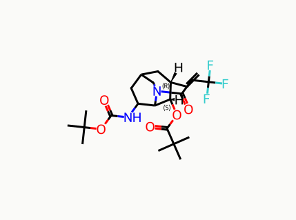 C=C[C@H]1CC2CC(NC(=O)OC(C)(C)C)C([C@H]1OC(=O)C(C)(C)C)N(C(=O)CC(F)(F)F)C2